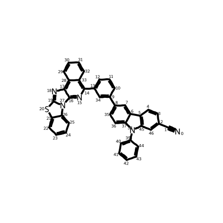 N#Cc1ccc2c3cc(-c4cccc(-c5nc6c(nc7sc8ccccc8n76)c6ccccc56)c4)ccc3n(-c3ccccc3)c2c1